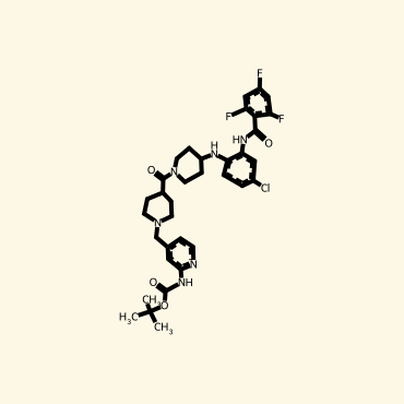 CC(C)(C)OC(=O)Nc1cc(CN2CCC(C(=O)N3CCC(Nc4ccc(Cl)cc4NC(=O)c4c(F)cc(F)cc4F)CC3)CC2)ccn1